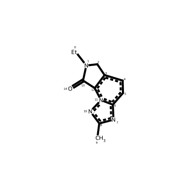 CCN1Cc2ccc3nc(C)nn3c2C1=O